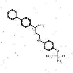 CC[C@@](C)(Oc1ccc(NC/C=C(\C)c2ccc(-c3ccccc3)cc2)cc1)C(=O)O